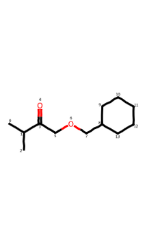 CC(C)C(=O)COCC1CCCCC1